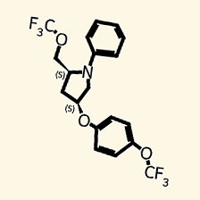 FC(F)(F)OC[C@@H]1C[C@H](Oc2ccc(OC(F)(F)F)cc2)CN1c1ccccc1